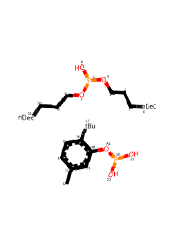 CCCCCCCCCCCCCOP(O)OCCCCCCCCCCCCC.Cc1ccc(C(C)(C)C)c(OP(O)O)c1